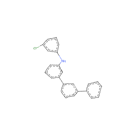 Clc1cccc(Nc2cccc(-c3cccc(-c4ccccc4)c3)c2)c1